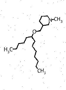 CCCCCCCC(CCCCC)OCC1CCCN(C)C1